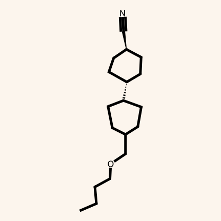 CCCCOCC1CCC([C@H]2CC[C@H](C#N)CC2)CC1